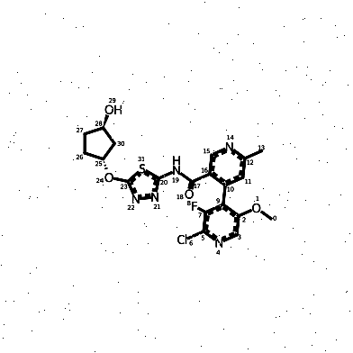 COc1cnc(Cl)c(F)c1-c1cc(C)ncc1C(=O)Nc1nnc(O[C@@H]2CC[C@@H](O)C2)s1